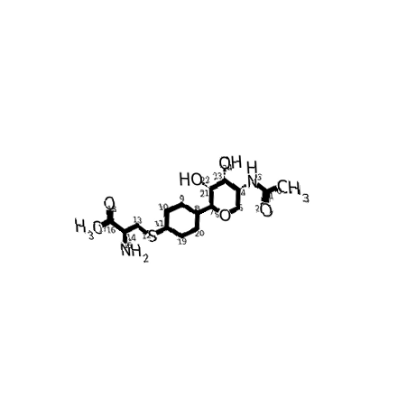 CC(=O)N[C@@H]1COC(C2CCC(SCC(N)C(C)=O)CC2)[C@H](O)[C@@H]1O